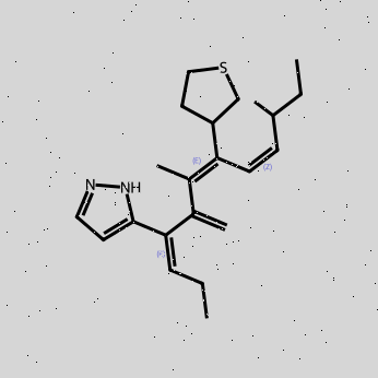 C=C(/C(=C\CC)c1ccn[nH]1)/C(C)=C(\C=C/C(C)CC)C1CCSC1